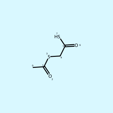 CC(=O)SCC(=O)S